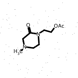 CC(=O)OCCN1CCN(C)CC1=O